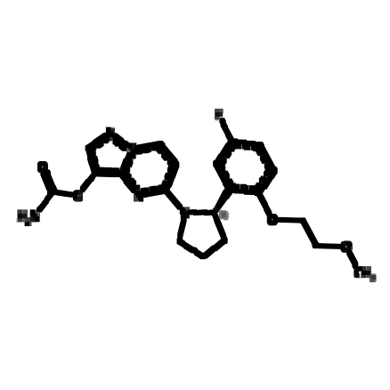 COCCOc1ccc(F)cc1[C@H]1CCCN1c1ccn2ncc(OC(N)=O)c2n1